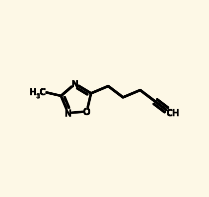 C#CCCCc1nc(C)no1